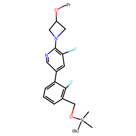 CC(C)OC1CN(c2ncc(-c3cccc(CO[Si](C)(C)C(C)(C)C)c3F)cc2F)C1